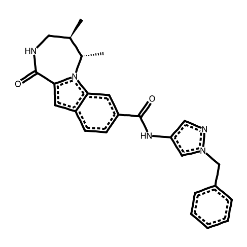 C[C@@H]1CNC(=O)c2cc3ccc(C(=O)Nc4cnn(Cc5ccccc5)c4)cc3n2[C@H]1C